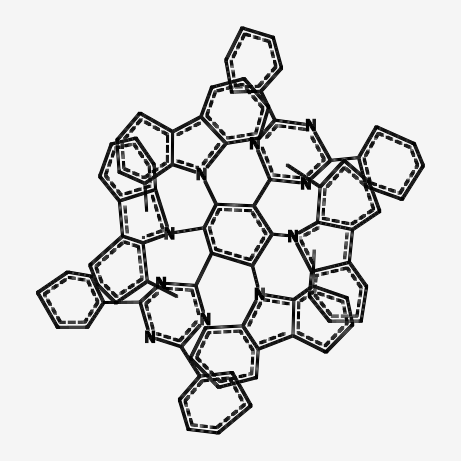 Cc1cccc2c3ccccc3n(-c3c(-c4nc(-c5ccccc5)nc(-c5ccccc5)n4)c(-n4c5ccccc5c5cccc(C)c54)c(-n4c5ccccc5c5cccc(C)c54)c(-c4nc(-c5ccccc5)nc(-c5ccccc5)n4)c3-n3c4ccccc4c4cccc(C)c43)c12